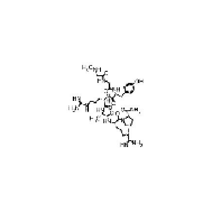 CNCC(=O)NCC(=O)N[C@@H](Cc1ccc(O)cc1)C(=O)N[C@@H](CCCNC(=N)N)C(=O)N[C@@H](C)C(=O)N[C@@H](CCCNC(=N)N)C(=O)N1CCC[C@H]1C(N)=O